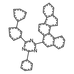 c1ccc(-c2cccc(-c3nc(-c4ccccc4)nc(-c4cc5ccccc5c5c4ccc4c6ccccc6ccc45)n3)c2)cc1